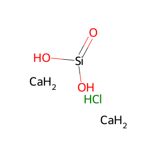 Cl.O=[Si](O)O.[CaH2].[CaH2]